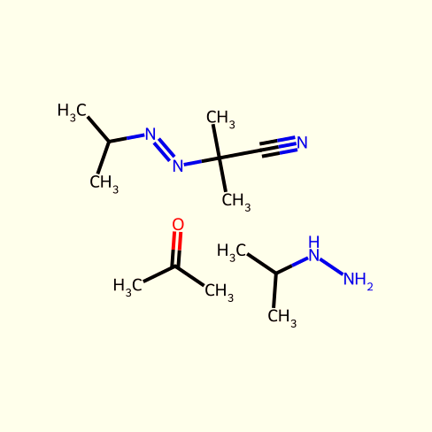 CC(C)=O.CC(C)N=NC(C)(C)C#N.CC(C)NN